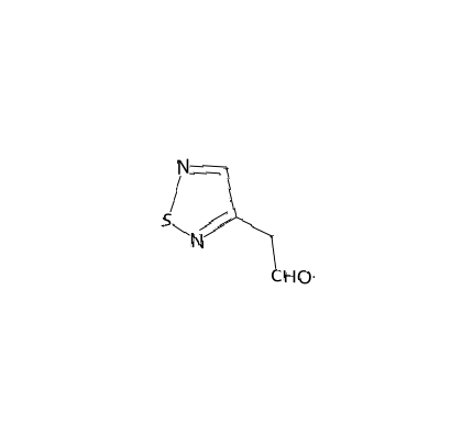 O=[C]Cc1cnsn1